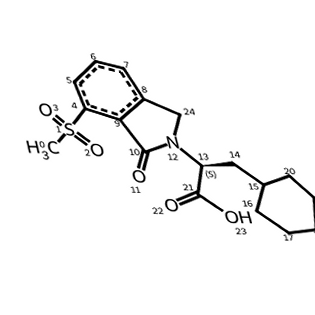 CS(=O)(=O)c1cccc2c1C(=O)N([C@@H](CC1CCCCC1)C(=O)O)C2